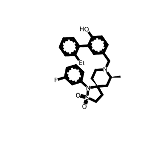 CCc1ccccc1-c1cc(CN2CC[C@]3(CCS(=O)(=O)N3c3cccc(F)c3)C[C@@H]2C)ccc1O